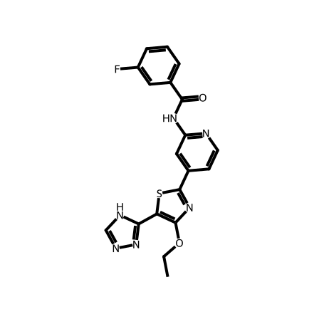 CCOc1nc(-c2ccnc(NC(=O)c3cccc(F)c3)c2)sc1-c1nnc[nH]1